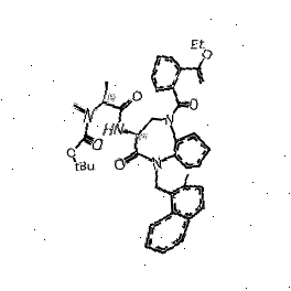 C=C(OCC)c1ccccc1C(=O)N1C[C@H](NC(=O)[C@H](C)N(C)C(=O)OC(C)(C)C)C(=O)N(Cc2c(C)ccc3ccccc23)c2ccccc21